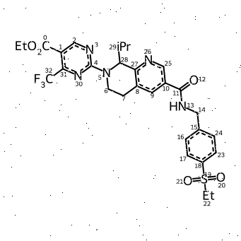 CCOC(=O)c1cnc(N2CCc3cc(C(=O)NCc4ccc(S(=O)(=O)CC)cc4)cnc3C2C(C)C)nc1C(F)(F)F